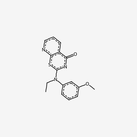 CCN(c1cccc(OC)c1)c1nc(=O)c2cccnc2s1